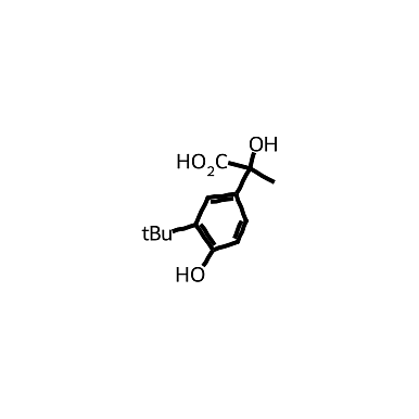 CC(C)(C)c1cc(C(C)(O)C(=O)O)ccc1O